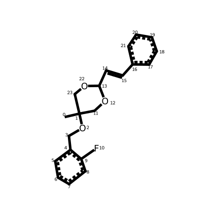 CC1(OCc2ccccc2F)COC(C=Cc2ccccc2)OC1